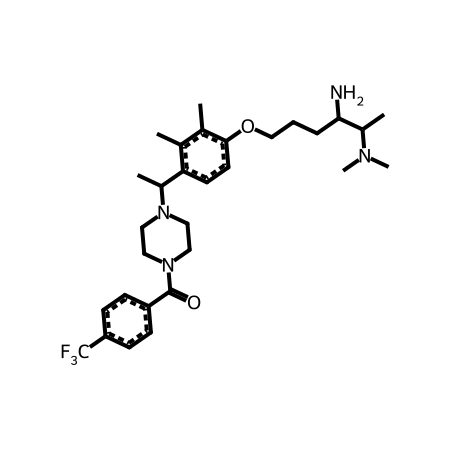 Cc1c(OCCCC(N)C(C)N(C)C)ccc(C(C)N2CCN(C(=O)c3ccc(C(F)(F)F)cc3)CC2)c1C